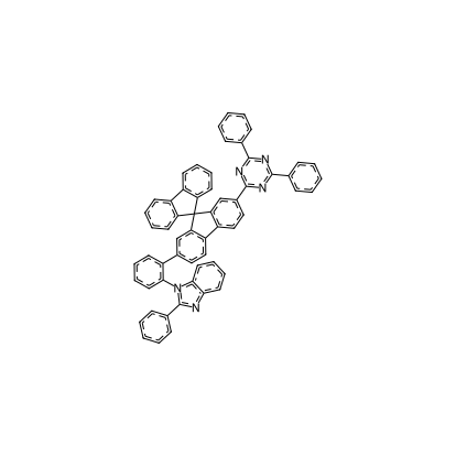 c1ccc(-c2nc(-c3ccccc3)nc(-c3ccc4c(c3)C3(c5ccccc5-c5ccccc53)c3cc(-c5ccccc5-n5c(-c6ccccc6)nc6ccccc65)ccc3-4)n2)cc1